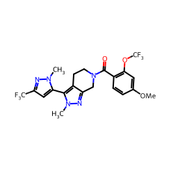 COc1ccc(C(=O)N2CCc3c(nn(C)c3-c3cc(C(F)(F)F)nn3C)C2)c(OC(F)(F)F)c1